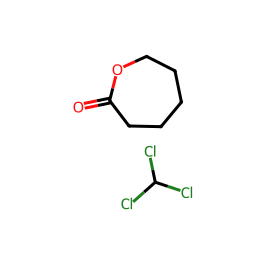 ClC(Cl)Cl.O=C1CCCCCO1